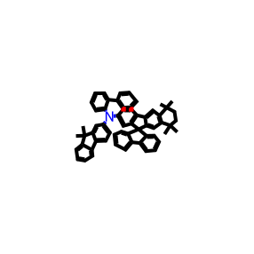 CC1(C)CCC(C)(C)c2cc3c(cc21)-c1ccc(N(c2ccc4c(c2)C(C)(C)c2ccccc2-4)c2ccccc2-c2ccccc2)cc1C31c2ccccc2-c2ccccc21